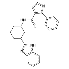 O=C(NC1CCCC(c2nc3ccccc3[nH]2)C1)c1ccnn1-c1ccccc1